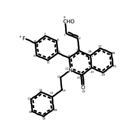 O=CC=Cc1c(-c2ccc(F)cc2)n(CCc2ccccc2)c(=O)c2ccccc12